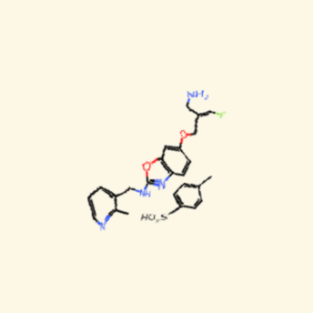 Cc1ccc(S(=O)(=O)O)cc1.Cc1ncccc1CNc1nc2ccc(OC/C(=C\F)CN)cc2o1